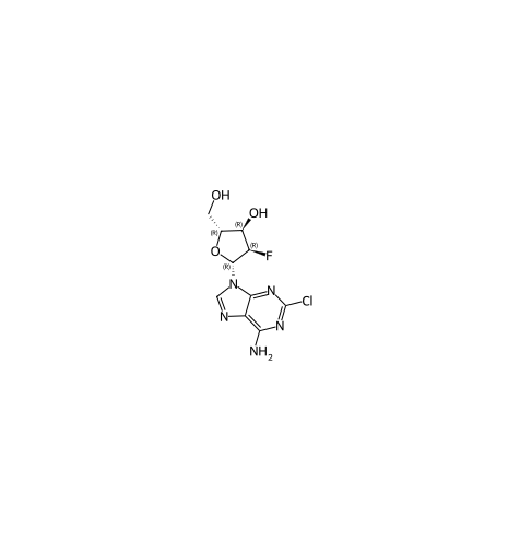 Nc1nc(Cl)nc2c1ncn2[C@@H]1O[C@H](CO)[C@@H](O)[C@H]1F